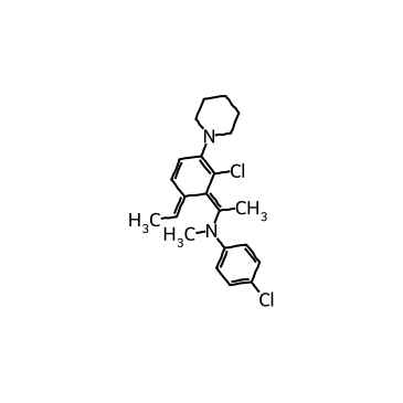 C/C=c1\ccc(N2CCCCC2)c(Cl)\c1=C(/C)N(C)c1ccc(Cl)cc1